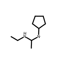 CCNC(C)[N]C1CCCC1